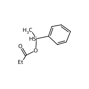 CCC(=O)O[SiH](C)c1ccccc1